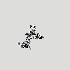 CC(C)NC(=O)C1CCC(n2/c(=N\C(=O)c3ccc(F)c(F)c3)[nH]c3ccc(CN4CCC(C(C)(C)O)CC4)cc32)CC1